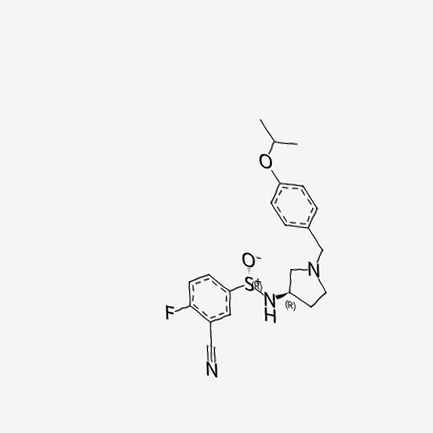 CC(C)Oc1ccc(CN2CC[C@@H](N[S@@+]([O-])c3ccc(F)c(C#N)c3)C2)cc1